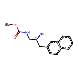 CC(C)(C)OC(=O)NC[C@@H](N)Cc1ccc2ccccc2c1